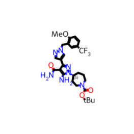 COc1ccc(C(F)(F)F)cc1Cn1cc(-c2nn([C@H]3CCCN(C(=O)OC(C)(C)C)CC3)c(N)c2C(N)=O)cn1